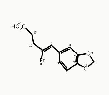 CC/C(=C\c1ccc2c(c1)OCO2)CCC(=O)O